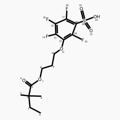 CCC(C)(C)C(=O)OCCCOc1c(F)c(F)c(F)c(S(=O)(=O)O)c1F